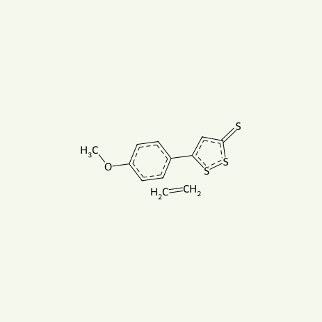 C=C.COc1ccc(-c2cc(=S)ss2)cc1